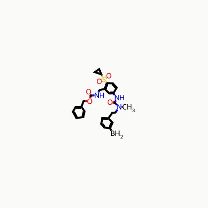 Bc1cccc(CCN(C)C(=O)Nc2ccc(S(=O)(=O)C3CC3)c(CNC(=O)OCc3ccccc3)c2)c1